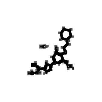 COc1cc(-c2csc(C(=N)NO)n2)cc(Cl)c1OCCN1CCCCC1.Cl